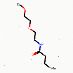 CCOCCOCCNC(=O)CCSC